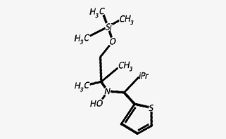 CC(C)C(c1cccs1)N(O)C(C)(C)CO[Si](C)(C)C